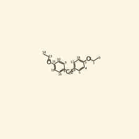 CCOc1cc[c]([Ge][c]2ccc(OCC)cc2)cc1